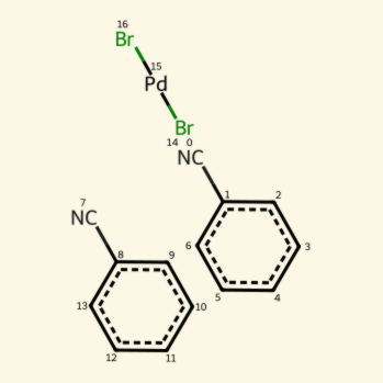 N#Cc1ccccc1.N#Cc1ccccc1.[Br][Pd][Br]